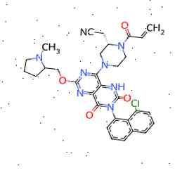 C=CC(=O)N1CCN(c2nc(OCC3CCCN3C)nc3c(=O)n(-c4cccc5cccc(Cl)c45)c(=O)[nH]c23)C[C@@H]1CC#N